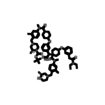 CCN(CC)C(=O)Cc1cccc(OC2CCC(C(=O)N(C)c3ccc(CN4CCN[C@@H](C)C4)c(C)c3)(C(C(=O)O)c3cccc(OC4CCC(C(=O)N(C)c5ccc(CN6CCN(C(=O)OC(C)(C)C)[C@@H](C)C6)c(C)c5)CC4)c3)CC2)c1